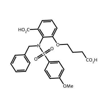 COc1ccc(S(=O)(=O)N(Cc2ccccc2)c2c(OCCCC(=O)O)cccc2C(=O)O)cc1